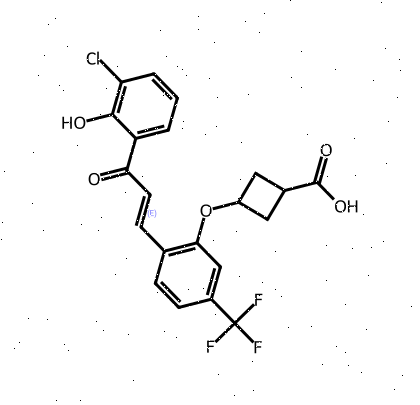 O=C(/C=C/c1ccc(C(F)(F)F)cc1OC1CC(C(=O)O)C1)c1cccc(Cl)c1O